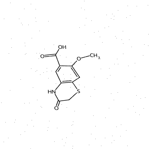 COc1cc2c(cc1C(=O)O)NC(=O)CS2